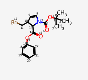 CC(C)(C)OC(=O)N1C=CC(CBr)C1C(=O)Oc1ccccc1